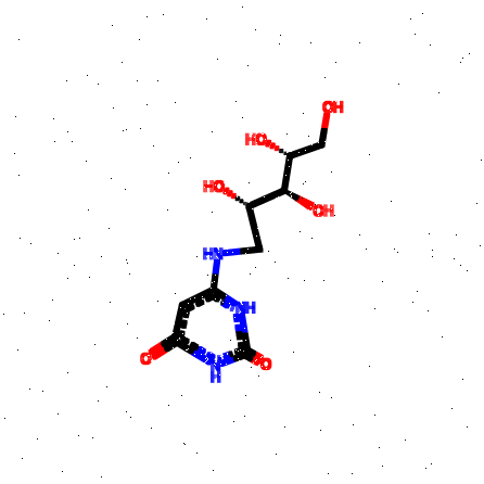 O=c1cc(NC[C@H](O)[C@H](O)[C@H](O)CO)[nH]c(=O)[nH]1